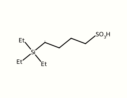 CC[Si]([CH]CCCS(=O)(=O)O)(CC)CC